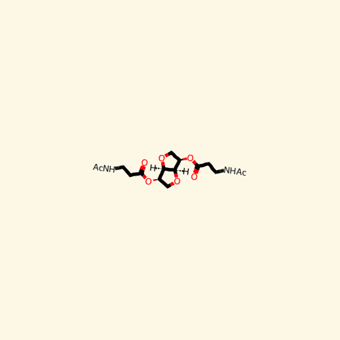 CC(=O)NCCC(=O)O[C@H]1CO[C@H]2[C@@H]1OC[C@H]2OC(=O)CCNC(C)=O